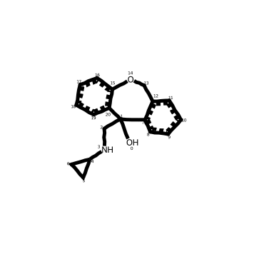 OC1(CNC2CC2)c2ccccc2COc2ccccc21